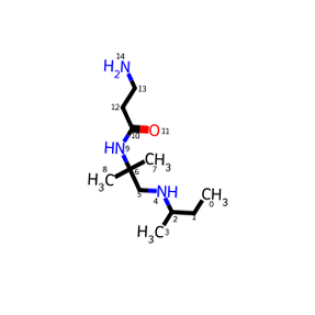 CCC(C)NCC(C)(C)NC(=O)CCN